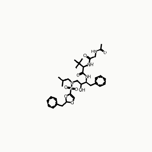 CC(=O)NCC(=O)NC(C(=O)NC(Cc1ccccc1)C(O)CN(CC(C)C)S(=O)(=O)C1=COC(Cc2ccccc2)O1)C(C)(C)C